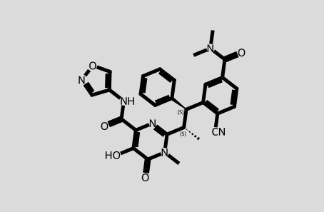 C[C@H](c1nc(C(=O)Nc2cnoc2)c(O)c(=O)n1C)[C@@H](c1ccccc1)c1cc(C(=O)N(C)C)ccc1C#N